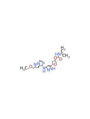 CCOCc1cc2c(Nc3cc([C@H]4C[C@@H](OC(=O)NC(C)C)CO4)[nH]n3)nccn2n1